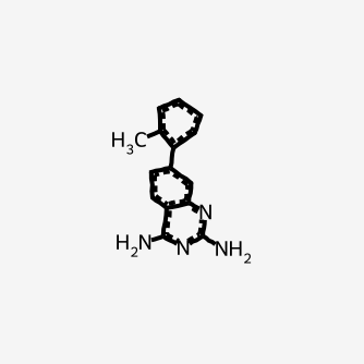 Cc1ccccc1-c1ccc2c(N)nc(N)nc2c1